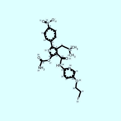 CN(C)Cc1c(-c2ccc([N+](=O)[O-])cc2)sc(OC(N)=O)c1C(=O)Nc1ccc(OCCF)cn1